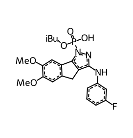 CCC(C)OP(=O)(O)n1nc(Nc2cccc(F)c2)c2c1-c1cc(OC)c(OC)cc1C2